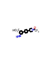 [N-]=[N+]=Nc1cc(C(=O)O)cc(-c2ccc(C3CCN(C(=O)C(F)(F)F)CC3)cc2)c1